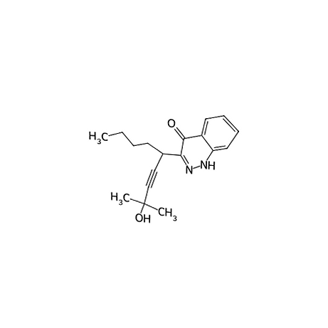 CCCCC(C#CC(C)(C)O)c1n[nH]c2ccccc2c1=O